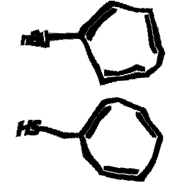 CCCCc1ccccc1.Sc1ccccc1